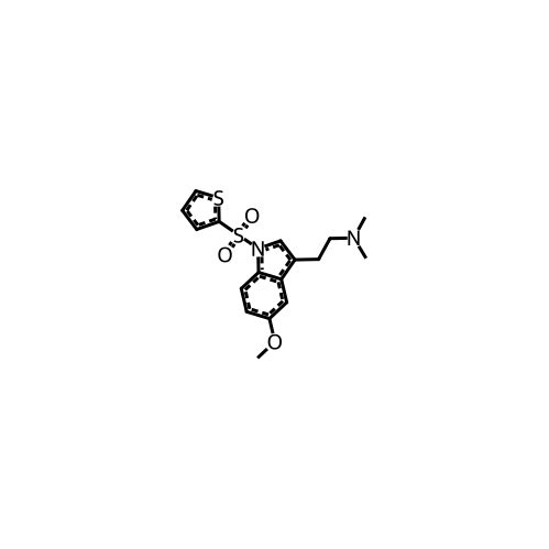 COc1ccc2c(c1)c(CCN(C)C)cn2S(=O)(=O)c1cccs1